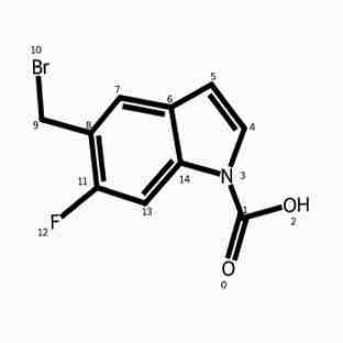 O=C(O)n1ccc2cc(CBr)c(F)cc21